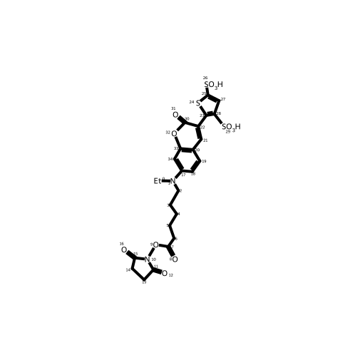 CCN(CCCCCC(=O)ON1C(=O)CCC1=O)c1ccc2cc(-c3sc(S(=O)(=O)O)cc3S(=O)(=O)O)c(=O)oc2c1